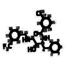 O=C(N[C@@H](Cc1ccccc1)[C@@H](O)CNCc1cccc(C(F)(F)F)c1)c1cccc(Cl)c1